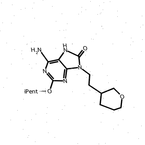 CCC[C@@H](C)Oc1nc(N)c2[nH]c(=O)n(CCC3CCCOC3)c2n1